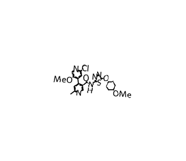 COc1cnc(Cl)cc1-c1cc(C)ncc1C(=O)Nc1nnc(O[C@H]2CC[C@H](OC)CC2)s1